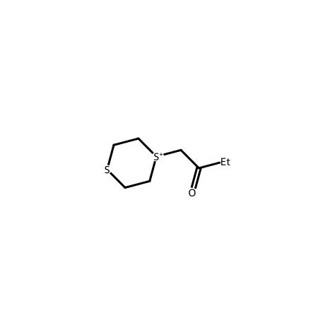 CCC(=O)C[S+]1CCSCC1